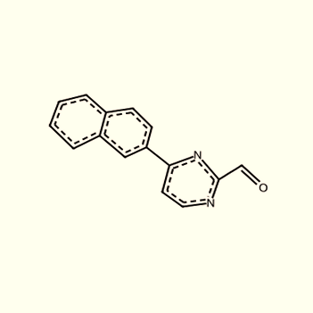 O=Cc1nccc(-c2ccc3ccccc3c2)n1